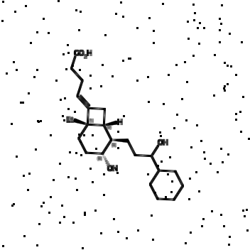 CC[C@]12CC[C@@H](O)[C@H](CCC(O)C3CCCCC3)[C@H]1CC2=CCCC(=O)O